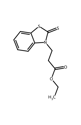 CCOC(=O)CCn1c(=S)sc2ccccc21